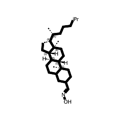 CC(C)CCC[C@@H](C)[C@H]1CC[C@H]2[C@@H]3CCC4CC(C=NO)CC[C@]4(C)[C@H]3CC[C@]12C